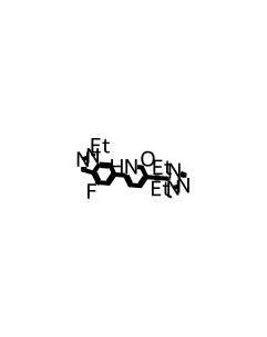 CCn1ncc2c(F)cc(-c3ccc(C(CC)(CC)c4ncnn4C)c(=O)[nH]3)cc21